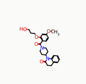 COc1ccc(C(=O)N2CCC(N3C(=O)CCc4ccccc43)CC2)c(OCCCO)c1